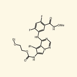 CCOCCOC(=O)Nc1cn2ncnc(Nc3cc(C(=O)NOC)c(F)cc3F)c2c1C(C)C